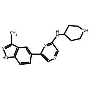 Cc1n[nH]c2ccc(-c3cncc(NC4CCNCC4)n3)cc12